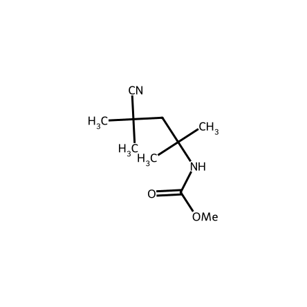 COC(=O)NC(C)(C)CC(C)(C)C#N